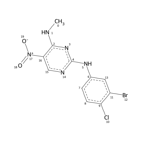 CNc1nc(Nc2ccc(Cl)c(Br)c2)ncc1[N+](=O)[O-]